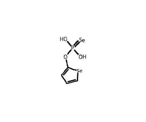 OP(O)(=[Se])Oc1ccc[se]1